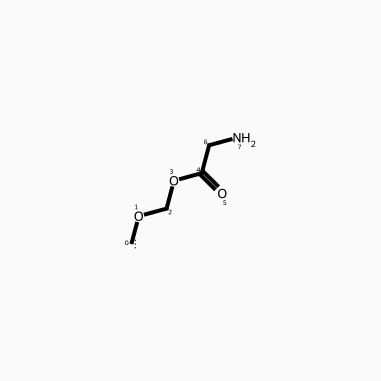 [C]OCOC(=O)CN